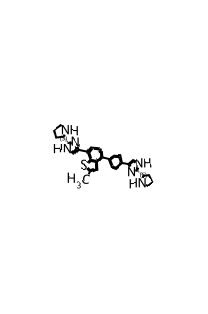 Cc1cc2c(-c3ccc(-c4c[nH]c([C@@H]5CCCN5)n4)cc3)ccc(-c3c[nH]c([C@@H]4CCCN4)n3)c2s1